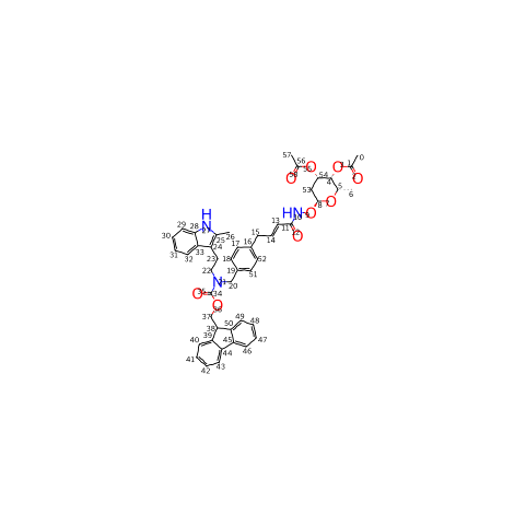 CC(=O)O[C@@H]1[C@H](C)O[C@@H](ONC(=O)/C=C/Cc2ccc(CN(CCc3c(C)[nH]c4ccccc34)C(=O)OCC3c4ccccc4-c4ccccc43)cc2)C[C@@H]1OC(C)=O